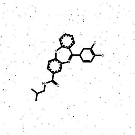 CC(C)CNC(=O)c1ccc2c(c1)N=C(C1C=CC(Cl)=C(Cl)C1)c1ccccc1S2